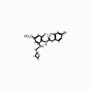 O=C(Cc1ccc(Br)cc1F)Nc1c(F)cc(C(=O)O)cc1NC[C@@H]1CCO1